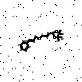 CC1(C)OB(/C=C/COCC=Cc2ccccc2)OC1(C)C